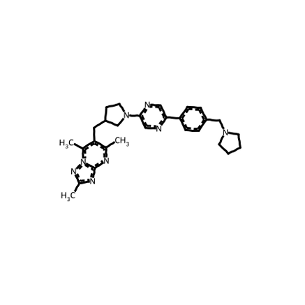 Cc1nc2nc(C)c(CC3CCN(c4cnc(-c5ccc(CN6CCCC6)cc5)cn4)C3)c(C)n2n1